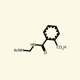 CC(=O)NCNC(=O)c1ccccc1C(=O)O